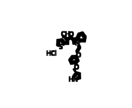 Cl.Cn1c(C(=O)c2cn(CCOc3cccc(OC[C@H]4CCNC4)c3)c3ccccc23)cc2sccc21